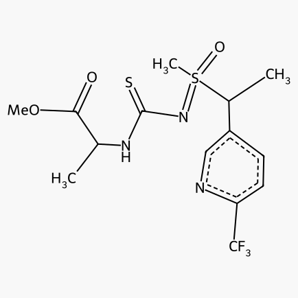 COC(=O)C(C)NC(=S)N=S(C)(=O)C(C)c1ccc(C(F)(F)F)nc1